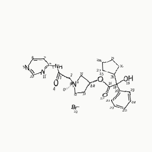 C[N@@+]1(CC(=O)Nc2ccncn2)CCC(OC(=O)C(O)(c2ccccc2)C2CCCC2)C1.[Br-]